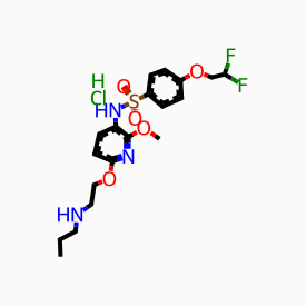 CCCNCCOc1ccc(NS(=O)(=O)c2ccc(OCC(F)F)cc2)c(OC)n1.Cl